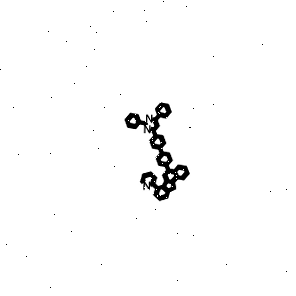 C1=C(c2ccc(-c3cc(-c4ccccc4)nc(-c4ccccc4)n3)cc2)CCC(c2cc3c(c4ccccc24)Cc2cccc(-c4ccccn4)c2-3)=C1